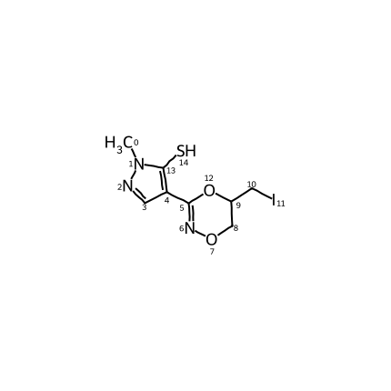 Cn1ncc(C2=NOCC(CI)O2)c1S